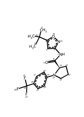 CC(C)(C)c1cc(NC(=O)[C@H]2CCCN2c2ccc(C(F)(F)F)cc2)no1